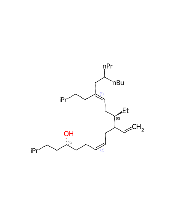 C=CC(C/C=C\CC[C@@H](O)CCC(C)C)[C@H](CC)C/C=C(\CCC(C)C)CC(CCC)CCCC